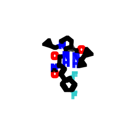 O=C(NC1[C@@H](C(=O)NC2(C3CC3)CC2)CCCN1CC1CC1)c1cc(-c2ccc(F)cc2F)on1